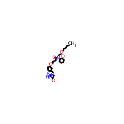 CCCCCCOC(=O)CN(C(=O)CCCOc1ccc2c(c1)CN1CC(=O)NC1=N2)C1CCCCC1